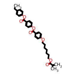 C=C(C)C(=O)OCCCCCCCOc1ccc(C(=O)Oc2ccc(C(=O)Oc3ccc(CC)cc3)cc2)cc1